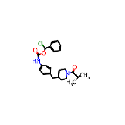 CC(C)C(=O)N1CCC(Cc2ccc(NC(=O)OC(Cl)c3ccccc3)cc2)CC1